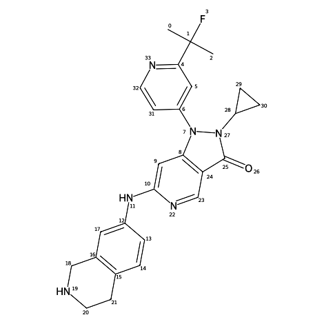 CC(C)(F)c1cc(-n2c3cc(Nc4ccc5c(c4)CNCC5)ncc3c(=O)n2C2CC2)ccn1